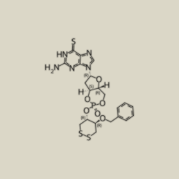 Nc1nc2c(ncn2[C@H]2C[C@@H]3OP(=O)(O[C@H]4CSSC[C@@H]4OCc4ccccc4)OC[C@H]3O2)c(=S)[nH]1